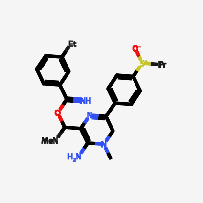 CCc1cccc(C(=N)OC(NC)C2=C(N)N(C)CC(c3ccc([S+]([O-])C(C)C)cc3)=N2)c1